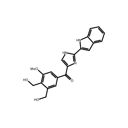 COc1cc(C(=O)c2c[nH]c(-c3cc4ccccc4[nH]3)n2)cc(CO)c1CO